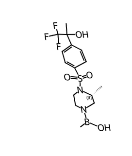 CB(O)N1CCN(S(=O)(=O)c2ccc(C(C)(O)C(F)(F)F)cc2)[C@H](C)C1